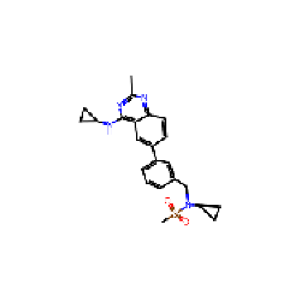 Cc1nc(NC2CC2)c2cc(-c3cccc(CN(C4CC4)S(C)(=O)=O)c3)ccc2n1